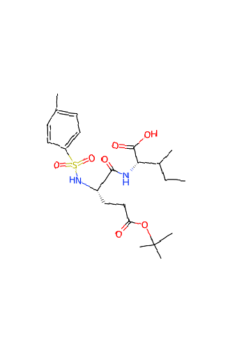 CCC(C)[C@H](NC(=O)[C@H](CCC(=O)OC(C)(C)C)NS(=O)(=O)c1ccc(C)cc1)C(=O)O